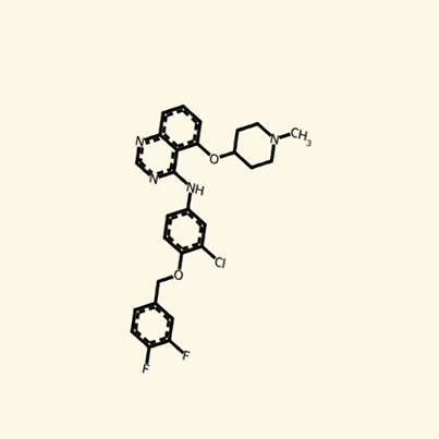 CN1CCC(Oc2cccc3ncnc(Nc4ccc(OCc5ccc(F)c(F)c5)c(Cl)c4)c23)CC1